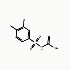 C=C(NS(=O)(=O)c1ccc(C)c(C)c1)OC(C)=O